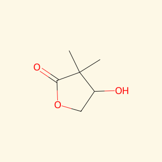 CC1(C)C(=O)OCC1O